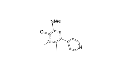 CNc1cc(-c2ccncc2)c(C)n(C)c1=O